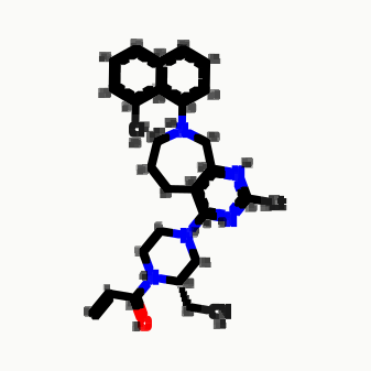 C=CC(=O)N1CCN(c2nc(CC)nc3c2CCCN(c2cccc4cccc(C(F)(F)F)c24)C3)C[C@@H]1CC#N